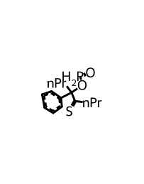 CCCC(=S)C(CCC)(O[PH2]=O)c1ccccc1